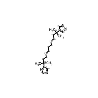 CC(C)(CCOCCCOCCC(C)(C)n1cnnn1)n1cnnn1